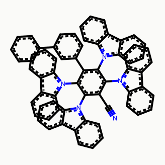 N#Cc1c(-n2c3ccccc3c3ccccc32)c(-n2c3ccccc3c3ccccc32)c(-c2cccc(-c3ccccc3)c2)c(-n2c3ccccc3c3ccccc32)c1-n1c2ccccc2c2ccccc21